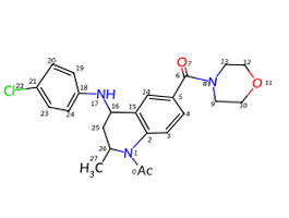 CC(=O)N1c2ccc(C(=O)N3CCOCC3)cc2C(Nc2ccc(Cl)cc2)CC1C